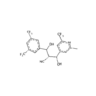 Cc1cc(C(O)C(C#N)C(O)c2cc(C(F)(F)F)cc(C(F)(F)F)c2)cc(C(F)(F)F)n1